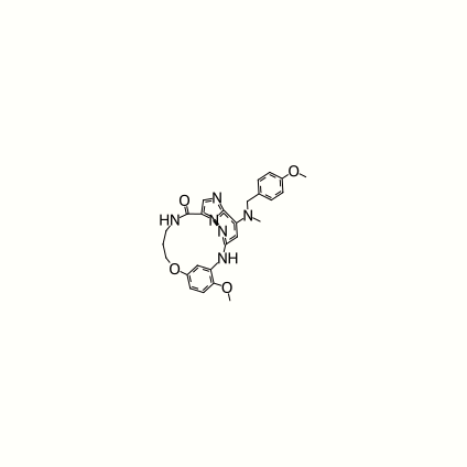 COc1ccc(CN(C)c2cc3nn4c(cnc24)C(=O)NCCCOc2ccc(OC)c(c2)N3)cc1